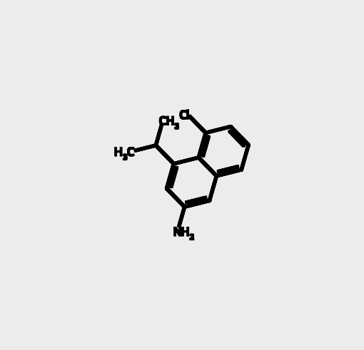 CC(C)c1cc(N)cc2cccc(Cl)c12